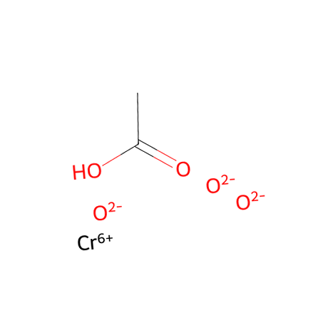 CC(=O)O.[Cr+6].[O-2].[O-2].[O-2]